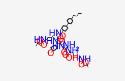 CCCCc1ccc(-c2ccc(C(=O)N[C@@H](CCCCNC(=O)OC(C)(C)C)C(=O)NC(C(=O)N[C@@H](N)C(=O)N[C@@H](CCCCNC(=O)OC(C)(C)C)C(=O)O)c3ccc(OC)cc3)cc2)cc1